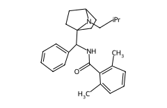 Cc1cccc(C)c1C(=O)NC(c1ccccc1)C12CCC(CC1)N2CC(C)C